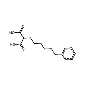 O=C(O)C(CCCCCCc1ccccc1)C(=O)O